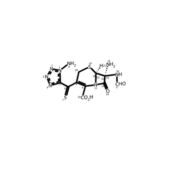 Nn1nnnc1C(=S)C1=C(C(=O)O)N2C(=O)[C@](N)(NC=O)[C@@H]2SC1